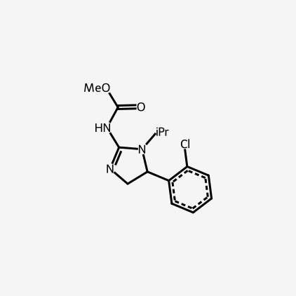 COC(=O)NC1=NCC(c2ccccc2Cl)N1C(C)C